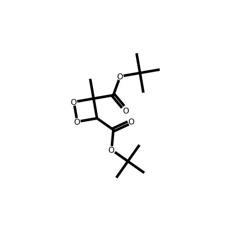 CC(C)(C)OC(=O)C1OOC1(C)C(=O)OC(C)(C)C